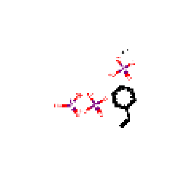 C=Cc1ccccc1.O=P([O-])([O-])O.O=P([O-])([O-])O.O=[PH](O)O.[Zr+4]